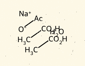 CC(=O)O.CC(=O)O.CC(=O)[O-].O.[Na+]